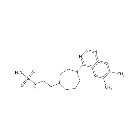 Cc1cc2ncnc(N3CCCC(CCNS(N)(=O)=O)CC3)c2cc1C